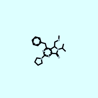 COCC1c2c(Cc3ccccc3)nc(N3CCCC3)nc2C(=O)N1C(C)C